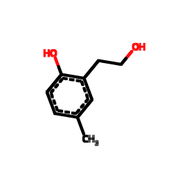 Cc1ccc(O)c(CCO)c1